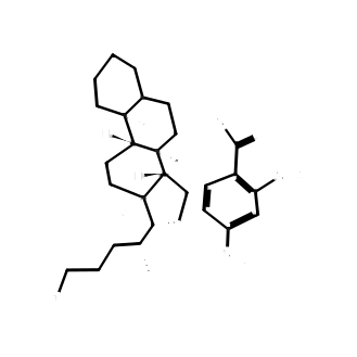 CC(=O)Nc1cc(N)ccc1C(N)=O.CC(C)CCC[C@@H](C)[C@H]1CC[C@H]2[C@@H]3CCC4CCCC[C@]4(C)[C@H]3CC[C@]12C